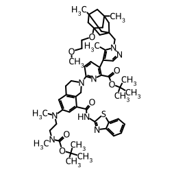 COCCOC12CC3(C)CC(C)(CC(Cn4ncc(-c5ccc(N6CCc7cc(N(C)CCN(C)C(=O)OC(C)(C)C)cc(C(=O)Nc8nc9ccccc9s8)c7C6)nc5C(=O)OC(C)(C)C)c4C)(C3)C1)C2